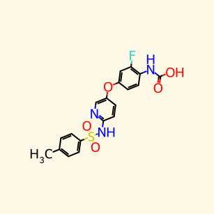 Cc1ccc(S(=O)(=O)Nc2ccc(Oc3ccc(NC(=O)O)c(F)c3)cn2)cc1